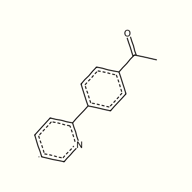 CC(=O)c1ccc(-c2cc[c]cn2)cc1